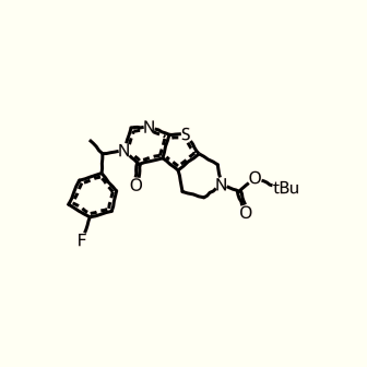 CC(c1ccc(F)cc1)n1cnc2sc3c(c2c1=O)CCN(C(=O)OC(C)(C)C)C3